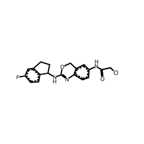 O=C(CCl)Nc1ccc2c(c1)COC(NC1CCc3cc(F)ccc31)=N2